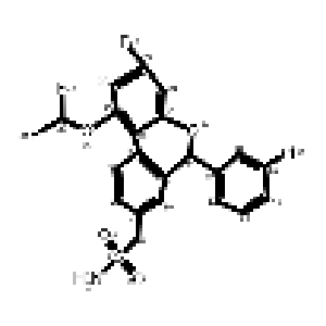 NS(=O)(=O)Cc1ccc2c(c1)C(c1cccc(Cl)c1)Oc1cc(F)cc(OC(F)F)c1-2